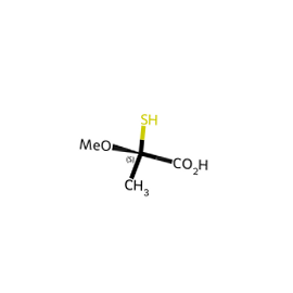 CO[C@@](C)(S)C(=O)O